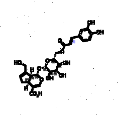 O=C(/C=C/c1ccc(O)c(O)c1)OC[C@H]1O[C@@H](O[C@@H]2OC=C(C(=O)O)[C@H]3CC=C(CO)[C@@H]23)[C@H](O)[C@@H](O)[C@@H]1O